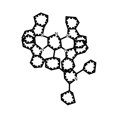 c1ccc(-c2cc(-c3cccc(-c4c(-n5c6ccccc6c6ccccc65)c(-n5c6ccccc6c6ccccc65)nc(-n5c6ccccc6c6ccccc65)c4-n4c5ccccc5c5ccccc54)c3)cc(-c3ccccc3)n2)cc1